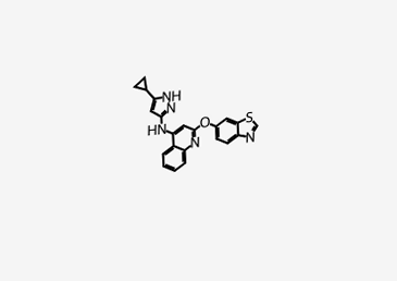 c1ccc2c(Nc3cc(C4CC4)[nH]n3)cc(Oc3ccc4ncsc4c3)nc2c1